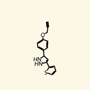 C#CCOc1ccc(C2C=C(c3cccs3)NN2)cc1